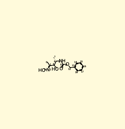 C/C(=N\O)C(O)[C@H](C)NC(=O)OCc1ccccc1